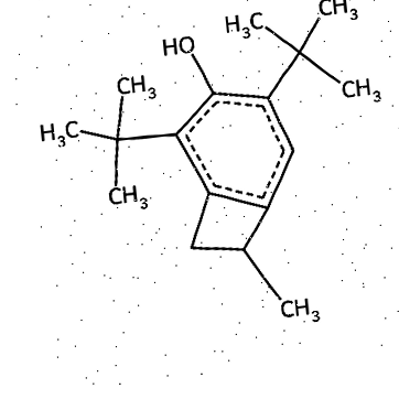 CC1Cc2c1cc(C(C)(C)C)c(O)c2C(C)(C)C